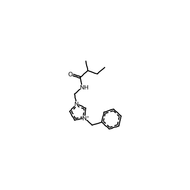 CCC(C)C(=O)NCn1cc[n+](Cc2ccccc2)c1